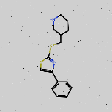 c1ccc(-c2csc(SCC3CCCNC3)n2)cc1